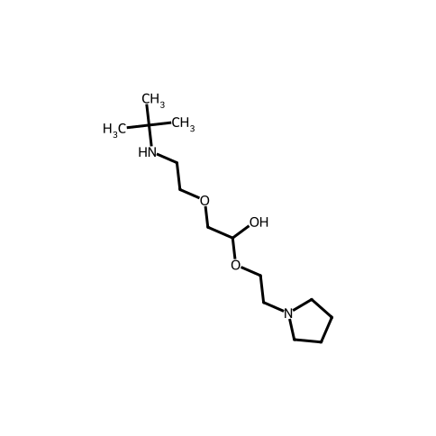 CC(C)(C)NCCOCC(O)OCCN1CCCC1